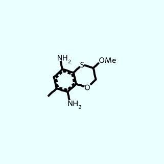 COC1COc2c(N)c(C)cc(N)c2S1